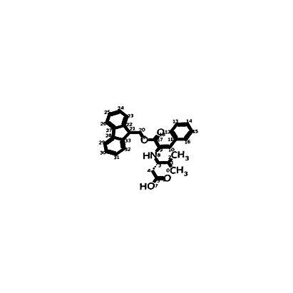 CC(C)[C@H](CC(=O)O)NC(=Cc1ccccc1)C(=O)OCC1c2ccccc2-c2ccccc21